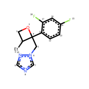 CCC1COC1(Cn1cncn1)c1ccc(F)cc1F